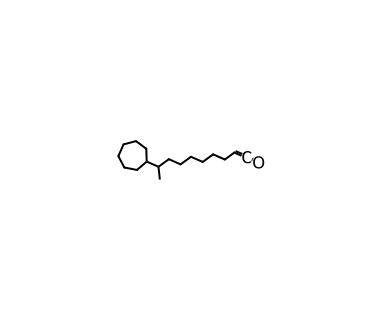 CC(CCCCCCC=C=O)C1CCCCCC1